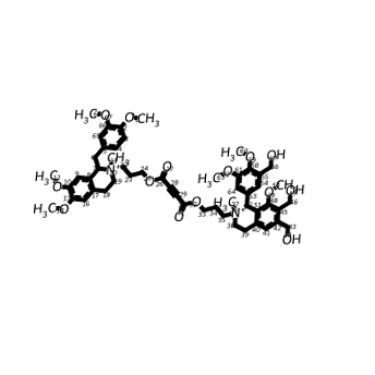 COc1ccc(CC2c3cc(OC)c(OC)cc3CC[N+]2(C)CCCOC(=O)C#CC(=O)OCCC[N+]2(C)CCc3cc(CO)c(CO)c(OC)c3C2c2cc(CO)c(OC)c(OC)c2)cc1OC